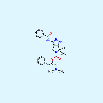 CN(C)C[C@H](Cc1ccccc1)OC(=O)N1Cc2c(NC(=O)c3ccccc3)n[nH]c2C1(C)C